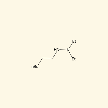 CCCCCCNN(CC)CC